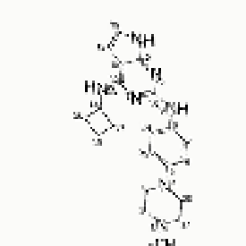 CN1CCN(c2ccc(Nc3nc(NC4CCC4)c4cc[nH]c4n3)cc2)CC1